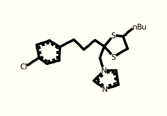 CCCCC1CSC(CCCc2ccc(Cl)cc2)(Cn2ccnc2)S1